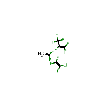 C=C(F)F.FC(F)=C(F)C(F)(F)F.FC(F)=C(F)Cl